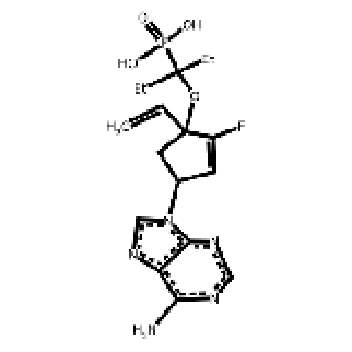 C=CC1(OC(CC)(CC)P(=O)(O)O)CC(n2cnc3c(N)ncnc32)C=C1F